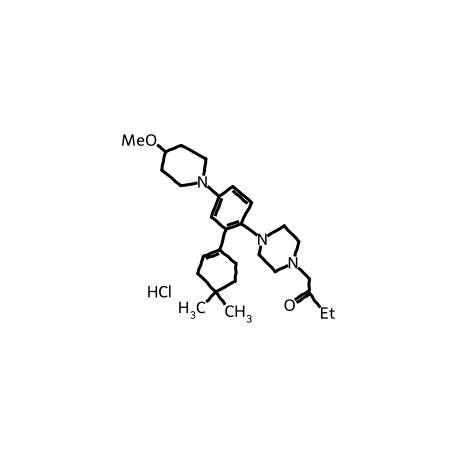 CCC(=O)CN1CCN(c2ccc(N3CCC(OC)CC3)cc2C2=CCC(C)(C)CC2)CC1.Cl